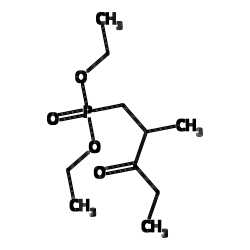 CCOP(=O)(CC(C)C(=O)CC)OCC